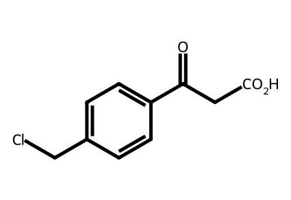 O=C(O)CC(=O)c1ccc(CCl)cc1